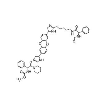 COC(=O)N[C@@H](C(=O)N1CCCC[C@H]1C1=NCC(c2ccc3c(c2)Oc2ccc(C4CN=C(CCCCCNC(=O)[C@H](NC=O)c5ccccc5)N4)cc2O3)N1)c1ccccc1